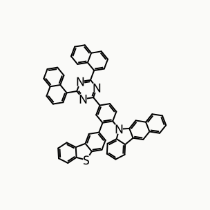 c1ccc2cc3c(cc2c1)c1ccccc1n3-c1ccc(-c2nc(-c3cccc4ccccc34)nc(-c3cccc4ccccc34)n2)cc1-c1ccc2sc3ccccc3c2c1